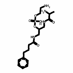 CC(N)C(=O)NCC(CNC(=O)CCCc1ccccc1)OP(=O)(O)OCCN